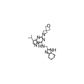 CC(C)c1cnn2c(NCc3nc4ccccc4[nH]3)nc(N3CC4(COC4)C3)nc12